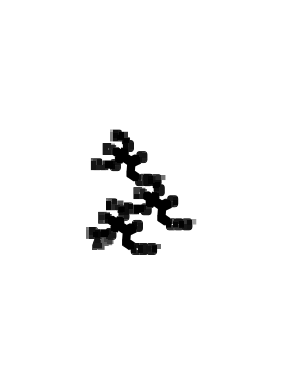 CCC(C)OC(CC)(OC(C)CC)C(=O)CC(=O)[O-].CCC(C)OC(CC)(OC(C)CC)C(=O)CC(=O)[O-].CCC(C)OC(CC)(OC(C)CC)C(=O)CC(=O)[O-].[Al+3]